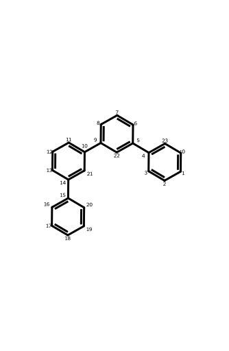 [c]1cccc(-c2cccc(-c3cccc(-c4ccccc4)c3)c2)c1